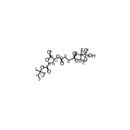 CCC(C)(CC)OC(=O)C1CC(OC(=O)CCC(=O)OC(C)C(F)(F)S(=O)(=O)O)C(=O)O1